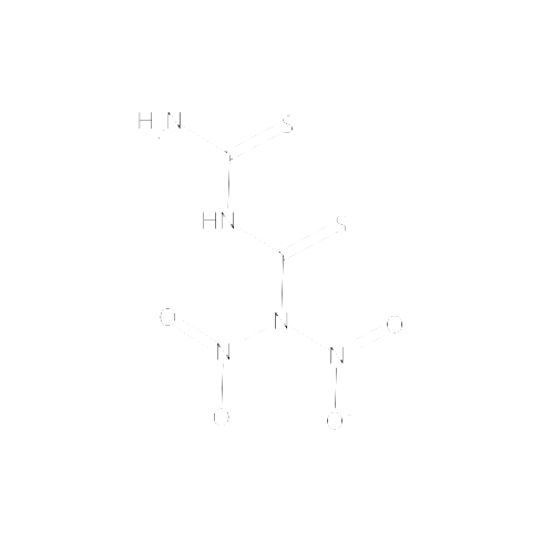 NC(=S)NC(=S)N([N+](=O)[O-])[N+](=O)[O-]